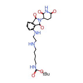 CC(C)(C)OC(=O)NCCCCCNCCNc1cccc2c1C(=O)N(C1CCC(=O)NC1=O)C2=O